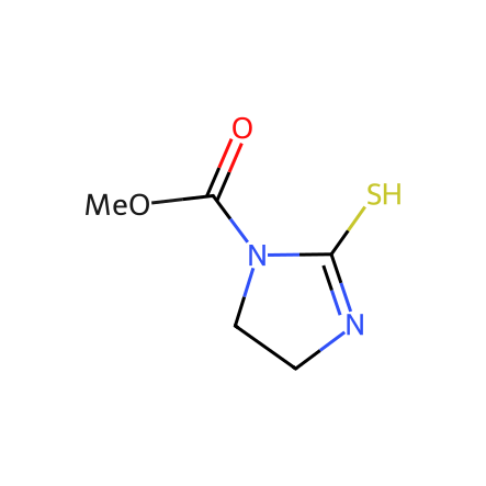 COC(=O)N1CCN=C1S